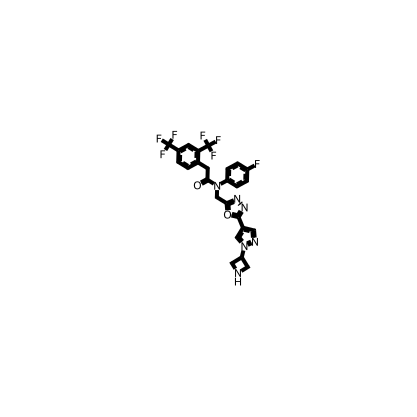 O=C(Cc1ccc(C(F)(F)F)cc1C(F)(F)F)N(Cc1nnc(-c2cnn(C3CNC3)c2)o1)c1ccc(F)cc1